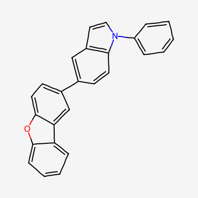 c1ccc(-n2ccc3cc(-c4ccc5oc6ccccc6c5c4)ccc32)cc1